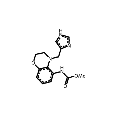 COC(=O)Nc1cccc2c1N(Cc1c[nH]cn1)CCO2